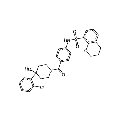 O=C(c1ccc(NS(=O)(=O)c2cccc3c2OCCC3)cc1)N1CCC(O)(c2ccccc2Cl)CC1